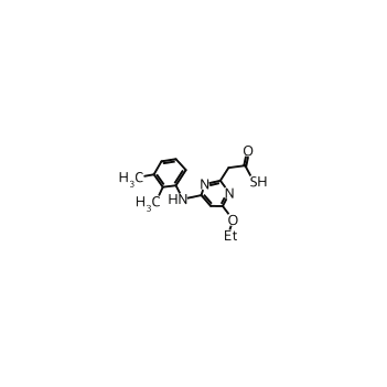 CCOc1cc(Nc2cccc(C)c2C)nc(CC(=O)S)n1